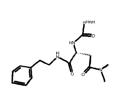 CCCCCCCC(=O)N[C@H](CC(=O)N(C)C)C(=O)NCCc1ccccc1